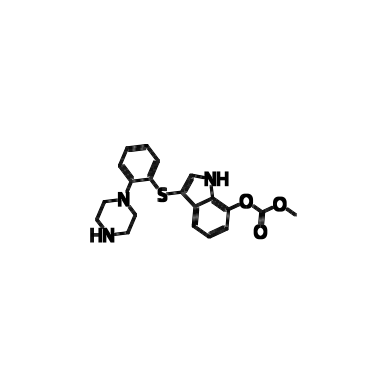 COC(=O)Oc1cccc2c(Sc3ccccc3N3CCNCC3)c[nH]c12